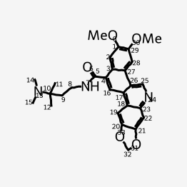 COc1cc2c(C(=O)NCCC(C)(C)N(C)C)cc3c4cc5c(cc4ncc3c2cc1OC)OCO5